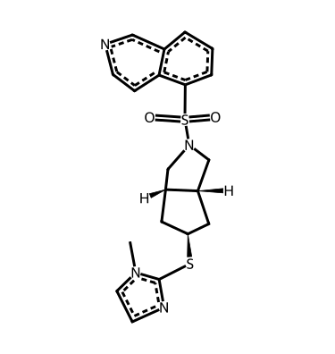 Cn1ccnc1S[C@H]1C[C@@H]2CN(S(=O)(=O)c3cccc4cnccc34)C[C@@H]2C1